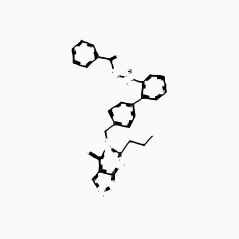 CCCc1nc2sncc2c(=O)n1Cc1ccc(-c2ccccc2S(=O)(=O)NC(=O)c2ccccc2)cc1